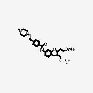 COCCC1Oc2cc(NC(=O)c3ccc(C=NN4CCN(C)CC4)cc3)ccc2CC1CC(=O)O